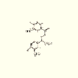 C=C(CCC(C(=O)OCC)c1ccc(C)c(C=O)c1)c1ccc(C)c(C=O)c1